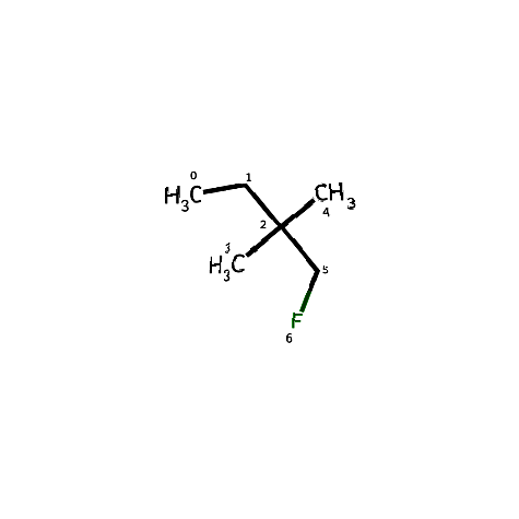 CCC(C)(C)CF